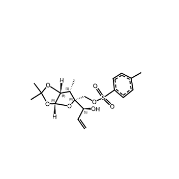 C=C[C@H](O)[C@@]1(COS(=O)(=O)c2ccc(C)cc2)O[C@@H]2OC(C)(C)O[C@@H]2[C@@H]1C